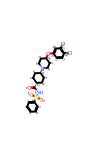 O=C(NS(=O)(=O)c1ccccc1)[C@H]1CC[C@H](N2CCC(Oc3ccc(Cl)c(Cl)c3)CC2)CC1